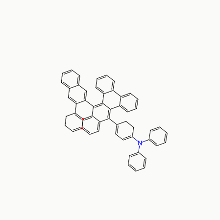 C1=CCCC(c2cc3ccccc3cc2-c2c3ccccc3c(C3=CC=C(N(c4ccccc4)c4ccccc4)CC3)c3c4ccccc4c4ccccc4c23)=C1